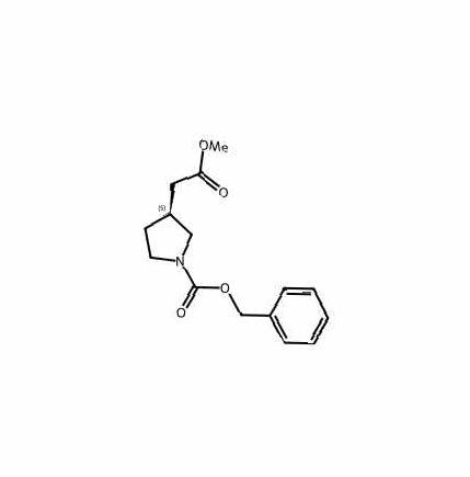 COC(=O)C[C@@H]1CCN(C(=O)OCc2ccccc2)C1